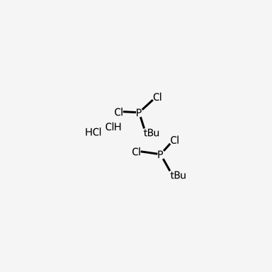 CC(C)(C)P(Cl)Cl.CC(C)(C)P(Cl)Cl.Cl.Cl